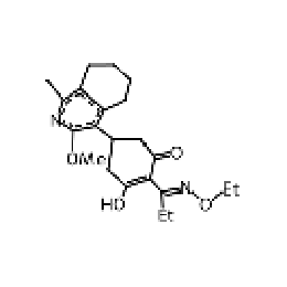 CCON=C(CC)C1=C(O)CC(c2c(OC)nc(C)c3c2CCCC3)CC1=O